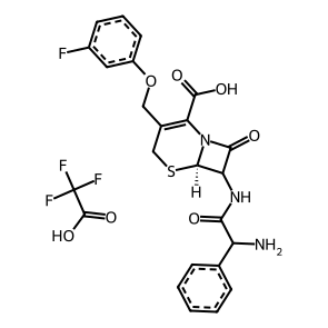 NC(C(=O)NC1C(=O)N2C(C(=O)O)=C(COc3cccc(F)c3)CS[C@H]12)c1ccccc1.O=C(O)C(F)(F)F